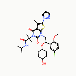 COc1ccc(F)cc1[C@H](Cn1c(=O)n(C(C)(C)C(=O)NC(C)C)c(=O)c2c(C)c(-n3cccn3)sc21)OC1CCC(O)CC1